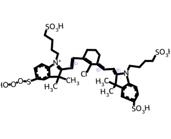 CC1(C)C(/C=C/C2=C(Cl)C(=C/C=C3/N(CCCCS(=O)(=O)O)c4ccc(S(=O)(=O)O)cc4C3(C)C)/CCC2)=[N+](CCCCS(=O)(=O)O)c2ccc(SOOO)cc21